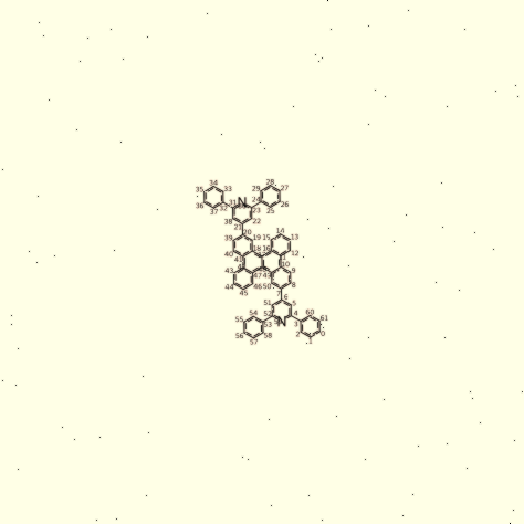 c1ccc(-c2cc(-c3ccc4c5ccccc5c5c6cc(-c7cc(-c8ccccc8)nc(-c8ccccc8)c7)ccc6c6ccccc6c5c4c3)cc(-c3ccccc3)n2)cc1